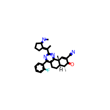 C/N=C1/CCC/C1=C(/C)c1nc(-c2ccccc2F)c2c(n1)[C@]1(C)C=C(C#N)C(=O)[C@H](C)[C@H]1CC2